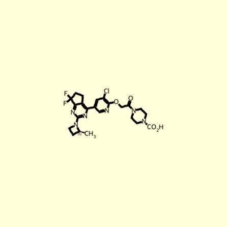 C[C@H]1CCN1c1nc(-c2cnc(OCC(=O)N3CCN(C(=O)O)CC3)c(Cl)c2)c2c(n1)C(F)(F)CC2